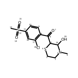 CN1CCSC(C(=O)c2ccc(S(C)(=O)=O)cc2Cl)C1O